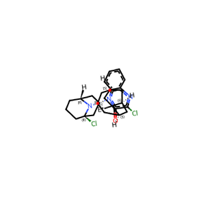 CCC12C[C@H]3C[C@@H](N4[C@@H]5CCC[C@@]4(Cl)C[C@@H](n4c(=O)c(Cl)nc6ccccc64)C5)C[C@@H]1C[C@@H]2C3